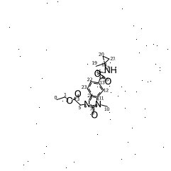 CCOC(=O)Cn1c(=O)n(C)c2cc(S(=O)(=O)NC3(C)CC3)ccc21